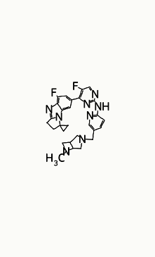 CN1CC2CN(Cc3ccc(Nc4ncc(F)c(-c5cc(F)c6nc7n(c6c5)C5(CC7)CC5)n4)nc3)CC21